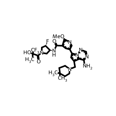 COc1ncc(-c2cc(CN3CCC(C)(C)CC3)c3c(N)ncnn23)cc1C(=O)N[C@@H]1CN(C(=O)C(C)(O)C(F)(F)F)C[C@@H]1F